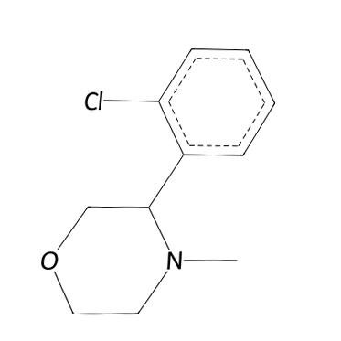 CN1CCOCC1c1ccccc1Cl